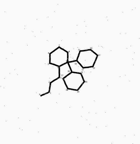 CCCCC1CCCCC1(C1CCCCC1)C1CCCCC1